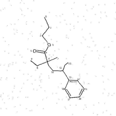 CCCOC(=O)C(C)(CC)CC(C)c1ccccc1